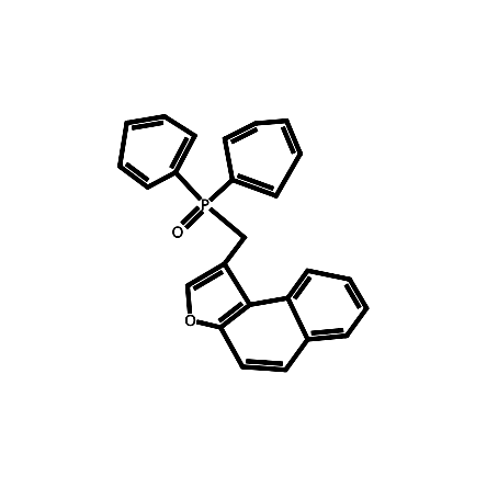 O=P(Cc1coc2ccc3ccccc3c12)(c1ccccc1)c1ccccc1